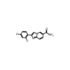 NC(=O)c1ccc2nc(-c3ccc(F)cc3F)cn2c1